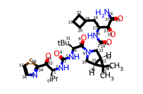 CC(C)[C@H](NC(=O)N[C@H](C(=O)N1C[C@H]2[C@@H]([C@H]1C(=O)NC(CC1CCC1)C(=O)C(N)=O)C2(C)C)C(C)(C)C)C(=O)c1nccs1